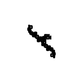 C=CC(=O)OCOc1ccc(OC(=O)C2CCC(C(=O)Oc3ccc(OC(=O)C4CCC(C(=O)Oc5ccc(OCOC(=O)C=C)cc5)CC4)c4c3SC(=C(C#N)C#N)S4)CC2)cc1